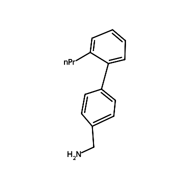 CCCc1ccccc1-c1ccc(CN)cc1